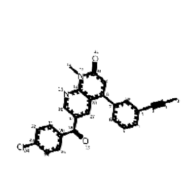 CC#Cc1cccc(-c2cc(=O)n(C)c3ncc(C(=O)c4ccc(Cl)cc4)cc23)c1